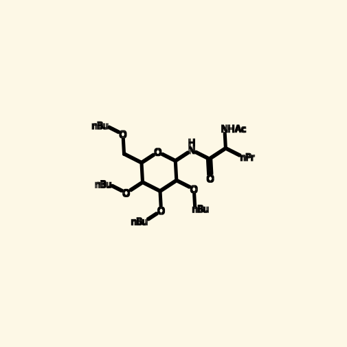 CCCCOCC1OC(NC(=O)C(CCC)NC(C)=O)C(OCCCC)C(OCCCC)C1OCCCC